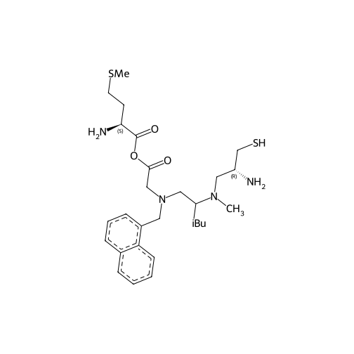 CCC(C)C(CN(CC(=O)OC(=O)[C@@H](N)CCSC)Cc1cccc2ccccc12)N(C)C[C@@H](N)CS